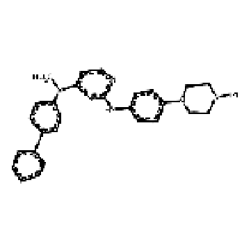 CC(C)N1CCN(c2ccc(Nc3nccc(N(C(=O)O)c4ccc(-c5ccccc5)cc4)n3)cc2)CC1